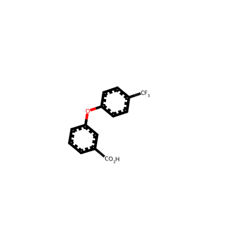 O=C(O)c1cccc(Oc2ccc(C(F)(F)F)cc2)c1